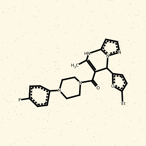 CCc1ccc(C2C(C(=O)N3CCN(c4ccc(F)cc4)CC3)=C(C)Nc3ccnn32)o1